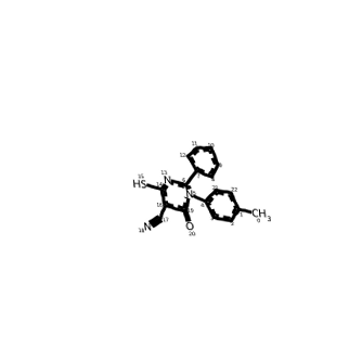 Cc1ccc(-n2c(-c3ccccc3)nc(S)c(C#N)c2=O)cc1